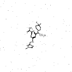 Cn1cnc(COc2cc(N(C(=O)O)C3CCC(F)(F)CC3)nc(C(N)=S)n2)n1